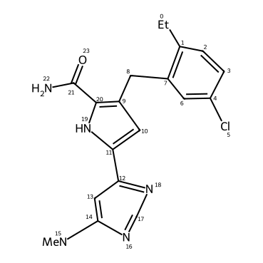 CCc1ccc(Cl)cc1Cc1cc(-c2cc(NC)ncn2)[nH]c1C(N)=O